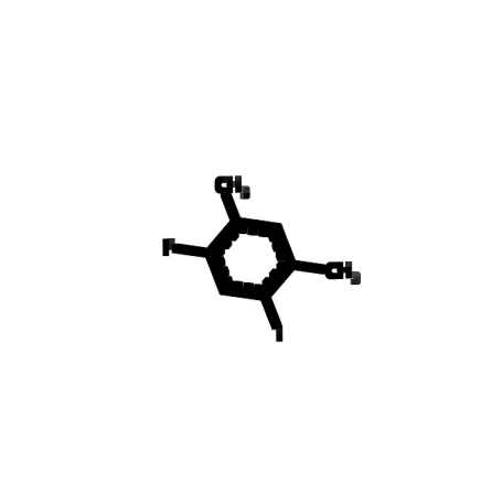 Cc1cc(C)c(I)cc1F